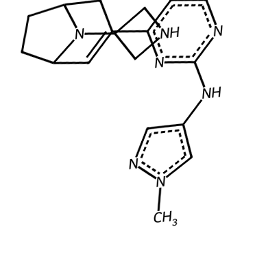 Cn1cc(Nc2nccc(C3=CC4CCC(C3)N4C3CNC3)n2)cn1